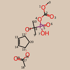 COC(=O)OP(=O)(O)C(C)(C)O[C@H]1C=C[C@@H](OC(C)=O)C1